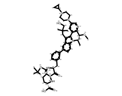 CCn1c(-c2cc(N3CCN(C4CC4)CC3)cnc2[C@H](C)OC)c(CC(C)(C)CO)c2cc(-c3cccc(C[C@H](NC(=O)OC(C)(C)C)C(=O)N4CCC[C@@H](C(=O)O)N4)c3)ccc21